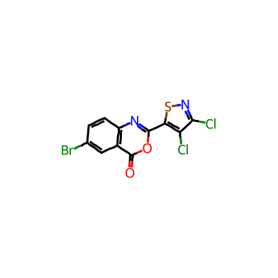 O=c1oc(-c2snc(Cl)c2Cl)nc2ccc(Br)cc12